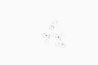 c1ccc(-c2nc(-c3cc(-c4ccc5c(c4)Oc4ccccc4O5)cc(-n4c5ccccc5c5ccccc54)c3)cc(-c3cccc4c3oc3ccccc34)n2)cc1